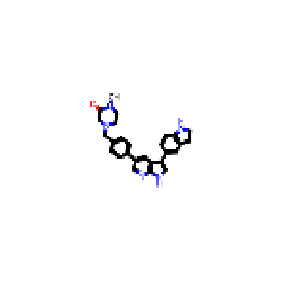 CN1CCN(Cc2ccc(-c3cnc4[nH]cc(-c5ccc6c(c5)CCN6)c4c3)cc2)CC1=O